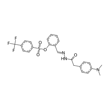 CN(C)c1ccc(CC(=O)N/N=C/c2ccccc2OS(=O)(=O)c2ccc(C(F)(F)F)cc2)cc1